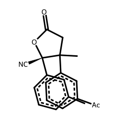 CC(=O)c1cccc(C2(C)CC(=O)O[C@@]2(C#N)c2cccc(C)c2)c1